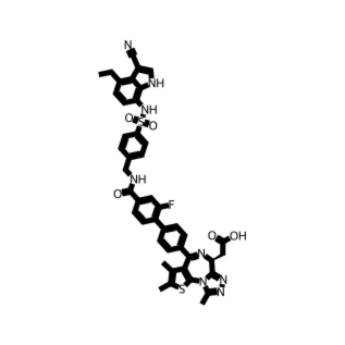 CCc1ccc(NS(=O)(=O)c2ccc(CNC(=O)c3ccc(-c4ccc(C5=N[C@@H](CC(=O)O)c6nnc(C)n6-c6sc(C)c(C)c65)cc4)c(F)c3)cc2)c2[nH]cc(C#N)c12